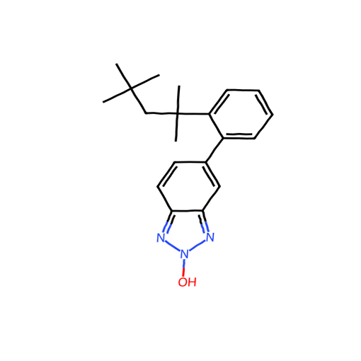 CC(C)(C)CC(C)(C)c1ccccc1-c1ccc2nn(O)nc2c1